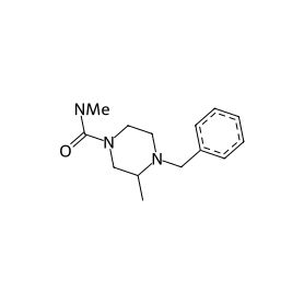 CNC(=O)N1CCN(Cc2ccccc2)C(C)C1